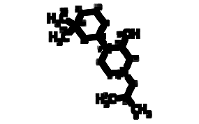 C[C](C)CN1CCN(C2CCCC(C)(C)C2)C(O)C1